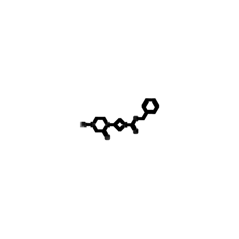 CC(C)N1CCN(C2CN(C(=O)OCc3ccccc3)C2)C(=O)C1